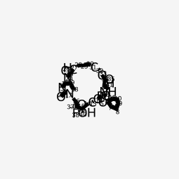 C[C@@H]1NP(=O)(Oc2ccccc2)OCC2OC(n3ccc(nc3=O)NC(=O)CCC=CCCOC1=O)[C@](C)(F)[C@@H]2O